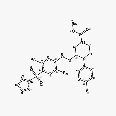 CC(C)(C)OC(=O)N1CCC(c2ccc(F)cc2)C(COc2cc(F)c(S(=O)(=O)n3cccn3)cc2F)C1